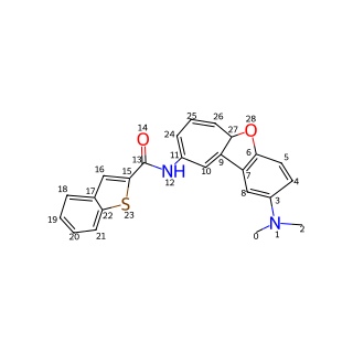 CN(C)c1ccc2c(c1)C1=CC(NC(=O)c3cc4ccccc4s3)=CC=CC1O2